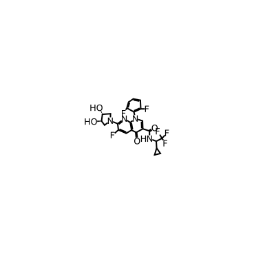 O=C(NC(C1CC1)C(F)(F)F)c1cn(-c2c(F)cccc2F)c2nc(N3C[C@@H](O)[C@H](O)C3)c(F)cc2c1=O